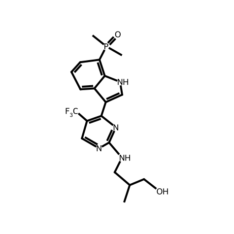 CC(CO)CNc1ncc(C(F)(F)F)c(-c2c[nH]c3c(P(C)(C)=O)cccc23)n1